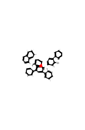 c1ccc(N(c2ccccc2-c2ccc3c(c2)c2ccccc2n3-c2ccc3c(c2)sc2ccccc23)c2cccc3ccccc23)cc1